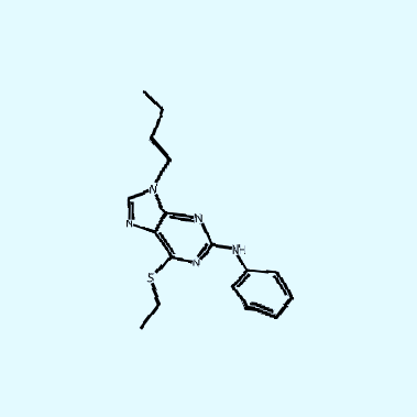 CCCCn1cnc2c(SCC)nc(Nc3ccccc3)nc21